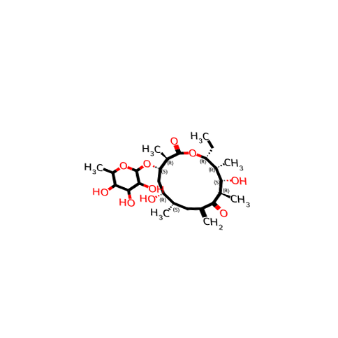 C=C1C[C@H](C)[C@H](O)C[C@H](OC2OC(C)C(O)C(O)C2O)[C@@H](C)C(=O)O[C@H](CC)[C@H](C)[C@H](O)[C@@H](C)C1=O